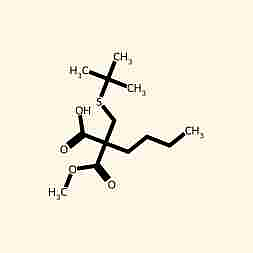 CCCCC(CSC(C)(C)C)(C(=O)O)C(=O)OC